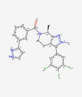 C[C@H]1c2nn(C)c(-c3cc(F)c(F)c(F)c3)c2CCN1C(=O)c1cccc(-c2cc[nH]n2)c1